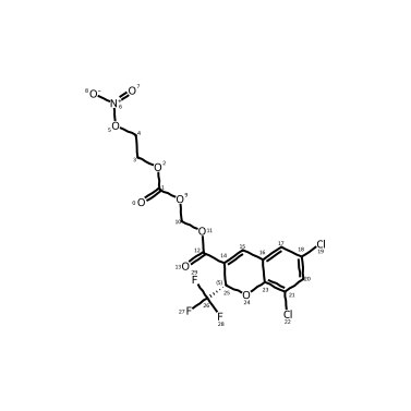 O=C(OCCO[N+](=O)[O-])OCOC(=O)C1=Cc2cc(Cl)cc(Cl)c2O[C@@H]1C(F)(F)F